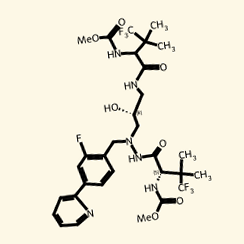 COC(=O)NC(C(=O)NC[C@@H](O)CN(Cc1ccc(-c2ccccn2)cc1F)NC(=O)[C@@H](NC(=O)OC)C(C)(C)C(F)(F)F)C(C)(C)C(F)(F)F